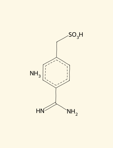 N.N=C(N)c1ccc(CS(=O)(=O)O)cc1